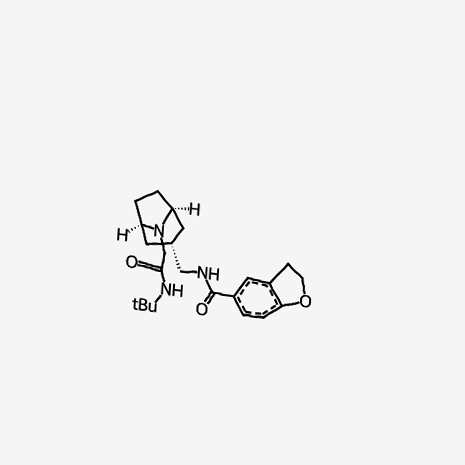 CC(C)(C)NC(=O)CN1[C@@H]2CC[C@H]1C[C@H](CNC(=O)c1ccc3c(c1)CCO3)C2